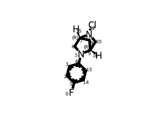 Fc1ccc(N2C[C@H]3C[C@@H]2CN3Cl)cc1